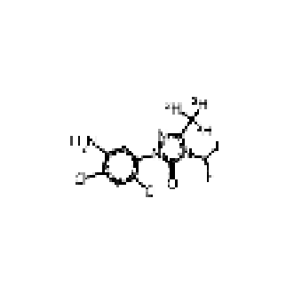 [2H]C([2H])([2H])c1nn(-c2cc(N)c(Cl)cc2Cl)c(=O)n1C(F)F